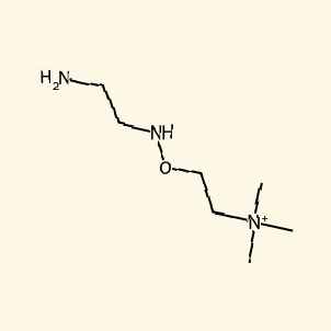 C[N+](C)(C)CCONCCN